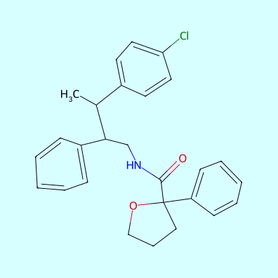 CC(c1ccc(Cl)cc1)C(CNC(=O)C1(c2ccccc2)CCCO1)c1ccccc1